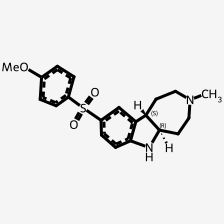 COc1ccc(S(=O)(=O)c2ccc3c(c2)[C@@H]2CCN(C)CC[C@H]2N3)cc1